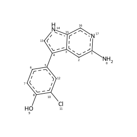 Nc1cc2c(-c3ccc(O)c(Cl)c3)c[nH]c2cn1